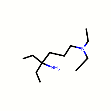 CCN(CC)CC[CH]C(N)(CC)CC